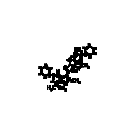 CCC(CC)(NC(=O)c1c(C)nn2c1N[C@@H](C1C=CC=CC1)CC2(C)C)c1cc(C)n(-c2ccccc2)n1